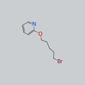 BrCCCCCOc1ccccn1